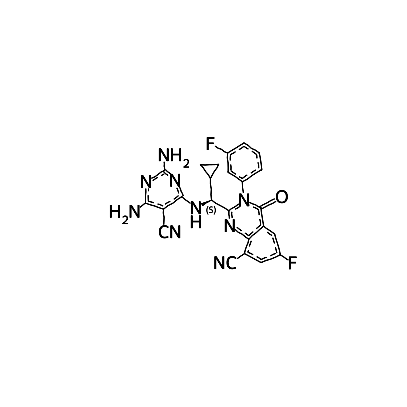 N#Cc1c(N)nc(N)nc1N[C@H](c1nc2c(C#N)cc(F)cc2c(=O)n1-c1cccc(F)c1)C1CC1